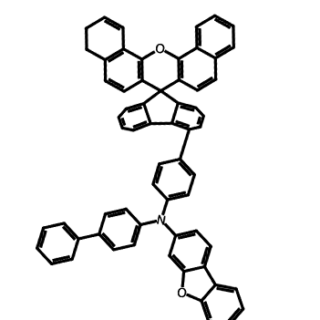 C1=Cc2c(ccc3c2Oc2c(ccc4ccccc24)C32c3ccccc3-c3c(-c4ccc(N(c5ccc(-c6ccccc6)cc5)c5ccc6c(c5)oc5ccccc56)cc4)cccc32)CC1